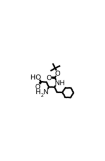 CC(C)(C)OC(=O)NC(CC1CCCCC1)C(N)CC(=O)O